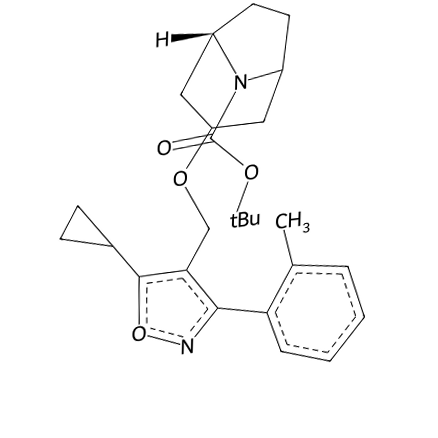 Cc1ccccc1-c1noc(C2CC2)c1COC1CC2CC[C@@H](C1)N2C(=O)OC(C)(C)C